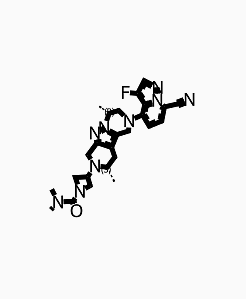 C[C@@H]1CN(c2ccc(C#N)n3ncc(F)c23)Cc2c3c(nn21)CN(C1CN(C(=O)N(C)C)C1)[C@@H](C)C3